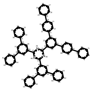 c1ccc(-c2ccc(-c3cc(-c4ccc(-c5ccccc5)cc4)cc(-c4nc(-c5cc(-c6ccccc6)cc(-c6ccccc6)c5)nc(-c5cc(-c6ccccc6)cc(-c6ccccc6)c5)n4)c3)cc2)cc1